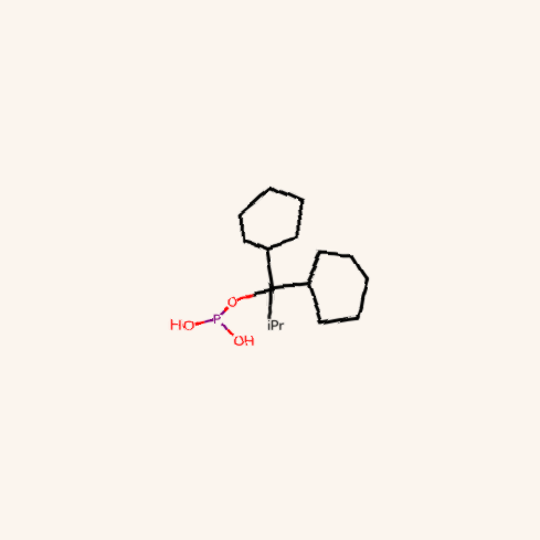 CC(C)C(OP(O)O)(C1CCCCC1)C1CCCCC1